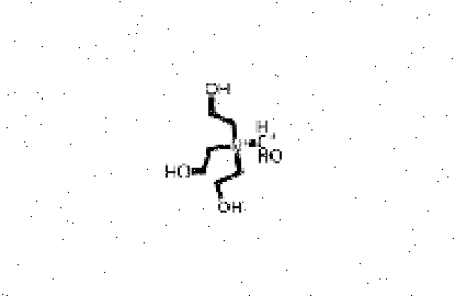 C[N+](CCO)(CCO)CCO.[OH-]